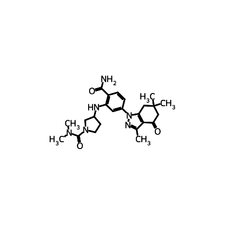 Cc1nn(-c2ccc(C(N)=O)c(NC3CCN(C(=O)N(C)C)C3)c2)c2c1C(=O)CC(C)(C)C2